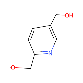 [O]Cc1ccc(CO)cn1